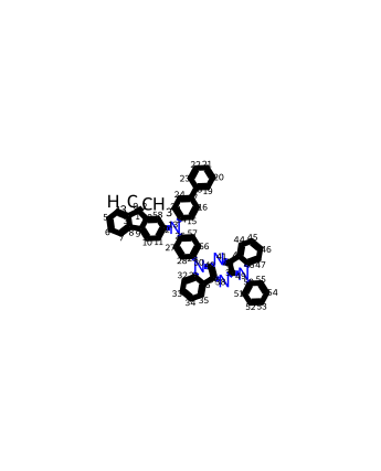 CC1(C)c2ccccc2-c2ccc(N(c3ccc(-c4ccccc4)cc3)c3ccc(-n4c5ccccc5c5nc6c(nc54)c4ccccc4n6-c4ccccc4)cc3)cc21